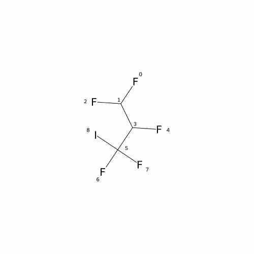 FC(F)C(F)C(F)(F)I